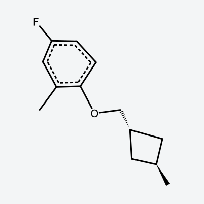 Cc1cc(F)ccc1OC[C@H]1C[C@H](C)C1